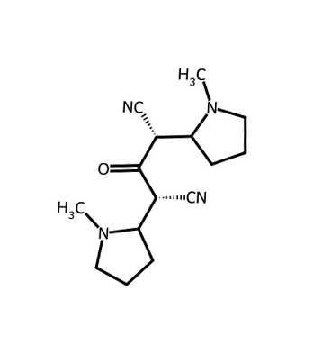 CN1CCCC1[C@@H](C#N)C(=O)[C@H](C#N)C1CCCN1C